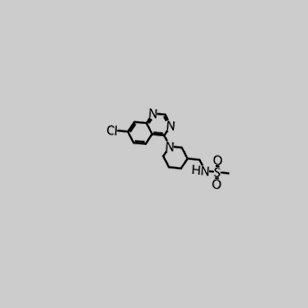 CS(=O)(=O)NCC1CCCN(c2ncnc3cc(Cl)ccc23)C1